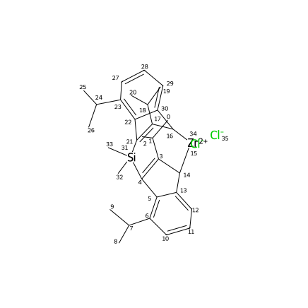 CC(C)C1=C2c3c(C(C)C)cccc3[CH]1[Zr+2][CH]1C(C(C)C)=C(c3c(C(C)C)cccc31)[Si]2(C)C.[Cl-].[Cl-]